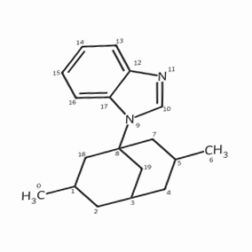 CC1CC2CC(C)CC(n3cnc4ccccc43)(C1)C2